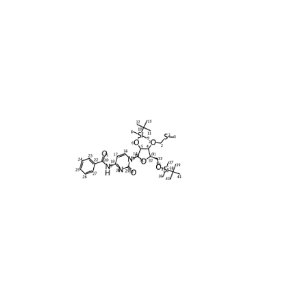 CSCOC1C(O[Si](C)(C)C(C)(C)C)[C@H](n2ccc(NC(=O)c3ccccc3)nc2=O)O[C@@H]1CO[Si](C)(C)C(C)(C)C